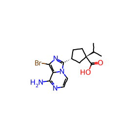 CC(C)[C@]1(C(=O)O)CC[C@@H](c2nc(Br)c3c(N)nccn23)C1